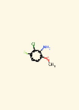 COc1ccc(F)c(Cl)c1N